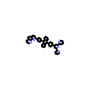 c1ccc(-c2cc(-c3ccc(-c4c5ccccc5c(-c5ccc(-c6ccc7ccc8cccnc8c7n6)cc5)c5ccccc45)cc3)cc(-c3ccccn3)n2)nc1